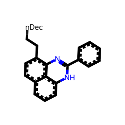 CCCCCCCCCCCCc1ccc2cccc3c2c1N=C(c1ccccc1)N3